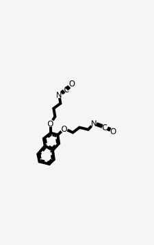 O=C=NCCCOc1cc2ccccc2cc1OCCCN=C=O